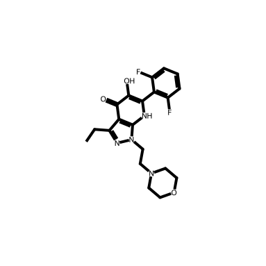 CCc1nn(CCN2CCOCC2)c2[nH]c(-c3c(F)cccc3F)c(O)c(=O)c12